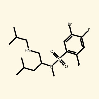 CC(C)CNCC(CC(C)C)N(C)S(=O)(=O)c1cc(Br)c(F)cc1F